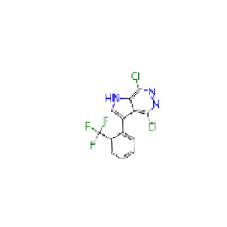 FC(F)(F)c1ccccc1-c1c[nH]c2c(Cl)nnc(Cl)c12